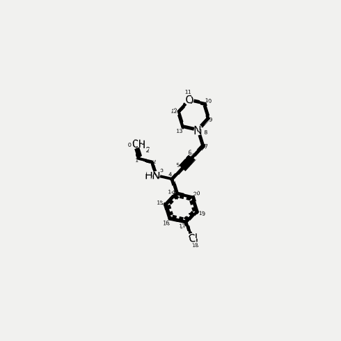 C=CCNC(C#CCN1CCOCC1)c1ccc(Cl)cc1